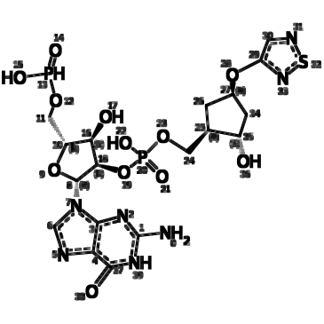 Nc1nc2c(ncn2[C@@H]2O[C@H](CO[PH](=O)O)[C@@H](O)[C@H]2OP(=O)(O)OC[C@H]2C[C@@H](Oc3cnsn3)C[C@@H]2O)c(=O)[nH]1